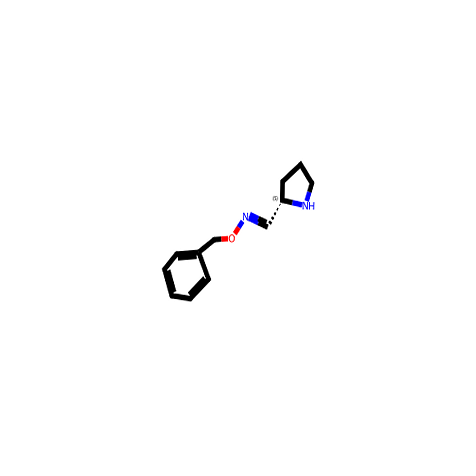 C(=NOCc1ccccc1)[C@@H]1CCCN1